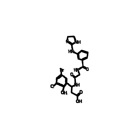 O=C(O)CC(NC(=O)CNC(=O)c1cccc(NC2=NCCN2)c1)c1cc(Br)cc(Cl)c1O